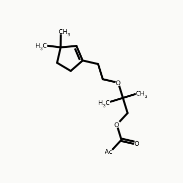 CC(=O)C(=O)OCC(C)(C)OCCC1=CC(C)(C)CC1